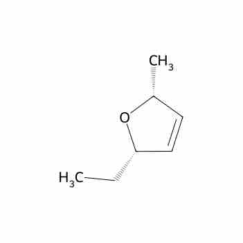 CC[C@H]1C=C[C@@H](C)O1